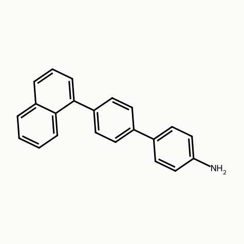 Nc1ccc(-c2ccc(-c3cccc4ccccc34)cc2)cc1